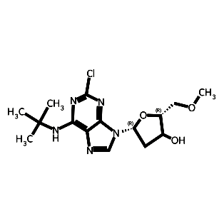 COC[C@H]1O[C@@H](n2cnc3c(NC(C)(C)C)nc(Cl)nc32)CC1O